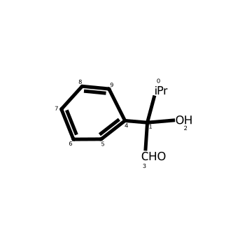 CC(C)C(O)(C=O)c1ccccc1